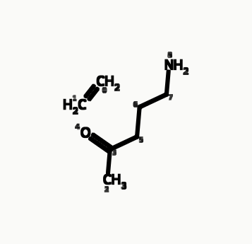 C=C.CC(=O)CCCN